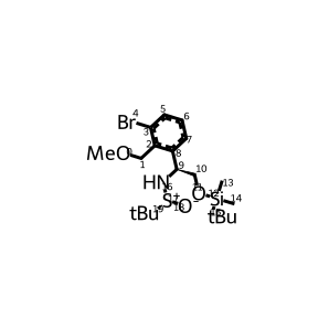 COCc1c(Br)cccc1[C@@H](CO[Si](C)(C)C(C)(C)C)N[S@@+]([O-])C(C)(C)C